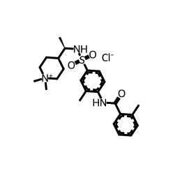 Cc1cc(S(=O)(=O)N[C@H](C)C2CC[N+](C)(C)CC2)ccc1NC(=O)c1ccccc1C.[Cl-]